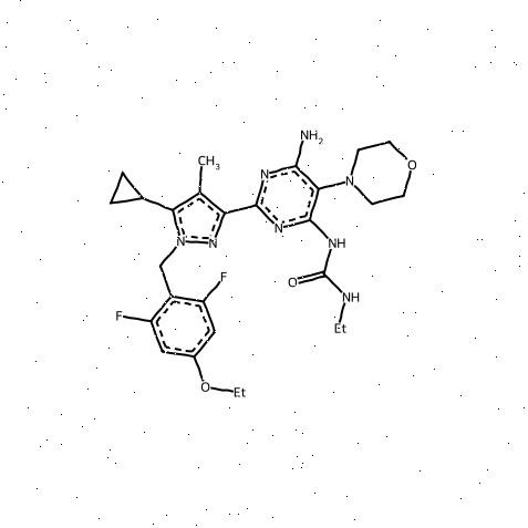 CCNC(=O)Nc1nc(-c2nn(Cc3c(F)cc(OCC)cc3F)c(C3CC3)c2C)nc(N)c1N1CCOCC1